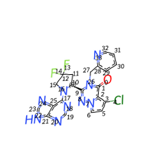 O=c1c2c(Cl)ccn2nc([C@@H]2CC(F)(F)CN2c2ncnc3[nH]cnc23)n1Cc1ccccn1